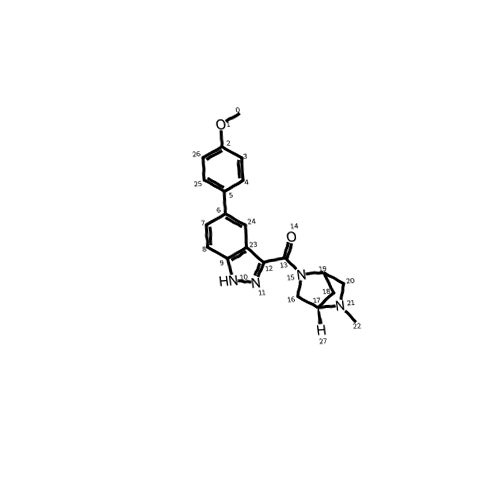 COc1ccc(-c2ccc3[nH]nc(C(=O)N4C[C@@H]5CC4CN5C)c3c2)cc1